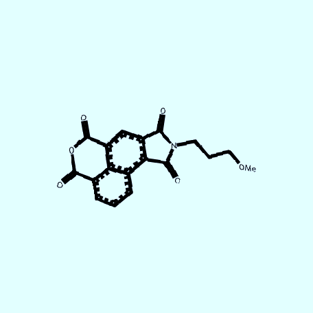 COCCCN1C(=O)c2cc3c4c(cccc4c2C1=O)C(=O)OC3=O